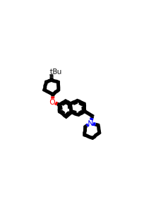 CC(C)(C)C1CCC(Oc2ccc3cc(CN4CCCCC4)ccc3c2)CC1